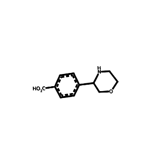 O=C(O)c1ccc(C2COCCN2)cc1